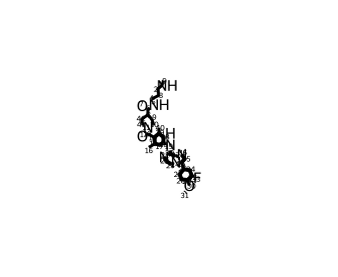 CNCCCNC(=O)C1CCN(C(=O)c2c(C)cc(Nc3nccn4c(-c5ccc(OC)c(F)c5)cnc34)cc2C)CC1